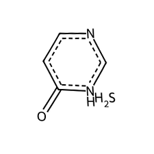 O=c1ccnc[nH]1.S